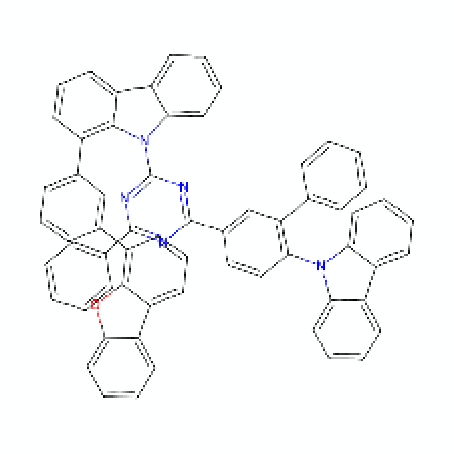 c1ccc(-c2nc(-c3ccc(-n4c5ccccc5c5ccccc54)c(-c4ccccc4)c3)nc(-n3c4ccccc4c4cccc(-c5cccc(-c6cccc7c6oc6ccccc67)c5)c43)n2)cc1